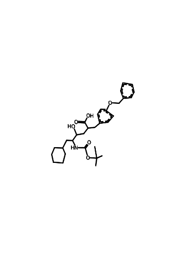 CC(C)(C)OC(=O)NC(CC1CCCCC1)C(O)CC(Cc1ccc(OCc2ccccc2)cc1)C(=O)O